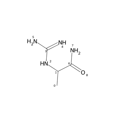 CC(NC(=N)N)C(N)=O